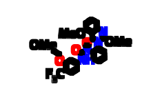 COCCOc1cc(NC(=O)N(Oc2nc(OC)nc3cccc(OC)c23)c2ccccc2)ccc1C(F)(F)F